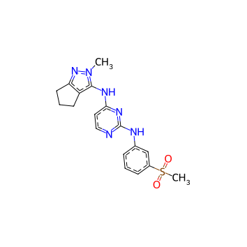 Cn1nc2c(c1Nc1ccnc(Nc3cccc(S(C)(=O)=O)c3)n1)CCC2